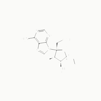 Nc1ncnc2c1ncn2[C@]1(CC(=O)O)O[C@H](CO)[C@@H](O)[C@H]1O